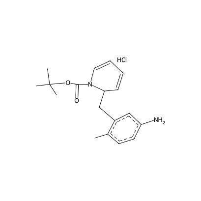 Cc1ccc(N)cc1CC1C=CC=CN1C(=O)OC(C)(C)C.Cl